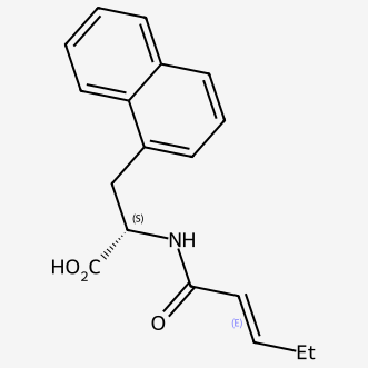 CC/C=C/C(=O)N[C@@H](Cc1cccc2ccccc12)C(=O)O